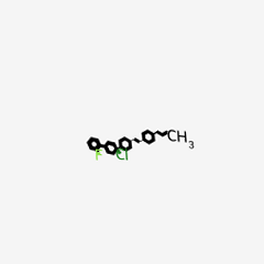 CCCC[C@H]1CC[C@H](CC[C@H]2CC[C@H](C3(Cl)C=CC(c4ccccc4F)=CC3)CC2)CC1